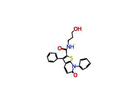 O=C(NCCCO)c1sc2c(ccc(=O)n2-c2ccccc2)c1-c1ccccc1